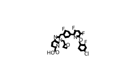 O=C(O)c1ccc2nc(Cc3ccc(-c4nc(OCc5ccc(Cl)cc5F)c(F)cc4F)cc3F)n(CC3CCO3)c2n1